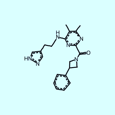 Cc1nc(C(=O)N2CC(c3ccccc3)C2)nc(NCCc2cn[nH]c2)c1C